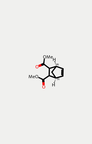 COC(=O)C1C(C(=O)OC)[C@H]2C=C[C@@H]1C2